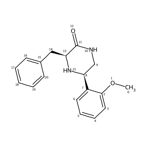 COc1ccccc1[C@@H]1CNC(=O)[C@H](Cc2ccccc2)N1